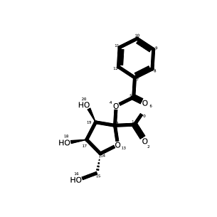 CC(=O)C1(OC(=O)c2ccccc2)O[C@H](CO)[C@@H](O)[C@H]1O